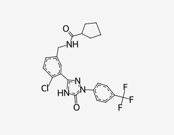 O=C(NCc1ccc(Cl)c(-c2nn(-c3ccc(C(F)(F)F)cc3)c(=O)[nH]2)c1)C1CCCC1